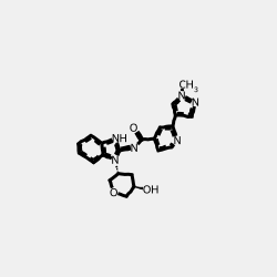 Cn1cc(-c2cc(C(=O)/N=c3\[nH]c4ccccc4n3[C@H]3COC[C@H](O)C3)ccn2)cn1